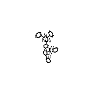 c1ccc(-c2nc(-c3ccccc3)nc(-c3cccc(-c4nc5ccccc5nc4-c4nccc5c4oc4ccccc45)c3)n2)cc1